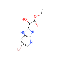 CCOC(=O)C(O)C1Nc2cc(Br)cnc2N1